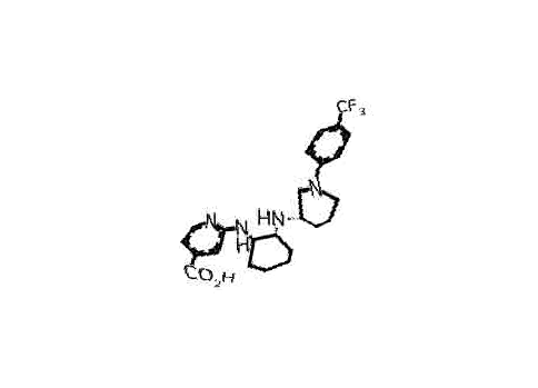 O=C(O)c1ccnc(N[C@@H]2CCCC[C@H]2N[C@H]2CCCN(c3ccc(C(F)(F)F)cc3)C2)c1